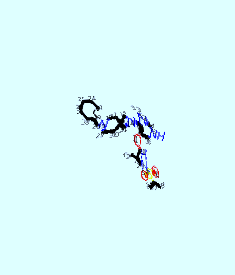 C/C(=C/NS(=O)(=O)C(C)C)COC1=C(N2CC3(CCN(CC4CCCCCCC4)CC3)C2)N(C)CNC1